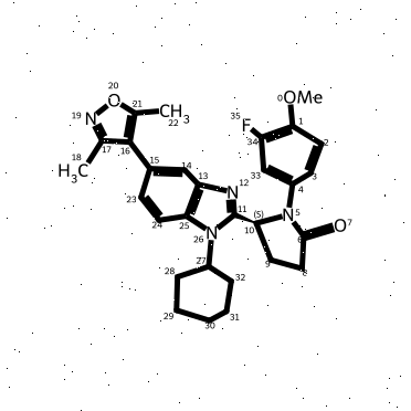 COc1ccc(N2C(=O)CC[C@H]2c2nc3cc(-c4c(C)noc4C)ccc3n2C2CCCCC2)cc1F